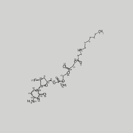 CCCCCCCNCCC(=O)OCC(=O)OCOP(=O)(O)OC[C@@H]1C[C@H](F)[C@H](n2ccc(N)nc2=O)O1